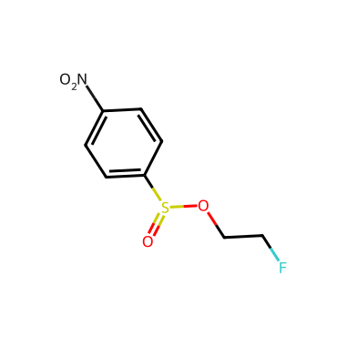 O=[N+]([O-])c1ccc(S(=O)OCCF)cc1